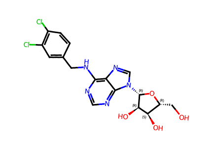 OC[C@H]1O[C@@H](n2cnc3c(NCc4ccc(Cl)c(Cl)c4)ncnc32)[C@H](O)[C@@H]1O